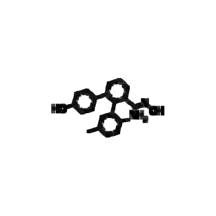 Cc1ccc(C)c(-c2c(/C(N)=N/O)cccc2-c2ccc(O)cc2)c1